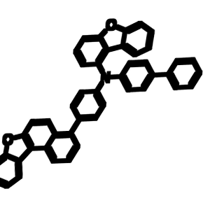 c1ccc(-c2ccc(N(c3ccc(-c4cccc5c4ccc4oc6ccccc6c45)cc3)c3cccc4oc5ccccc5c34)cc2)cc1